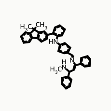 CNC(/C=C(\N=C\c1ccc(Nc2ccccc2-c2ccc3c(c2)C(C)(C)c2ccccc2-3)cc1)c1ccccc1)c1ccccc1